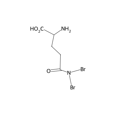 NC(CCC(=O)N(Br)Br)C(=O)O